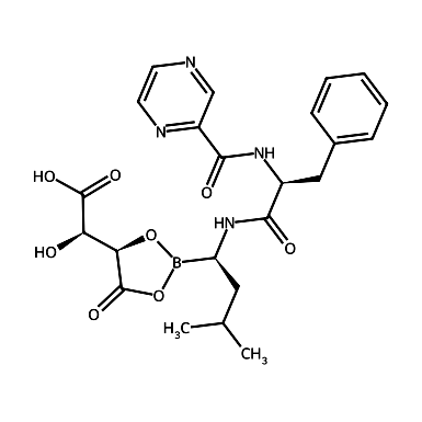 CC(C)C[C@H](NC(=O)[C@H](Cc1ccccc1)NC(=O)c1cnccn1)B1OC(=O)[C@@H]([C@@H](O)C(=O)O)O1